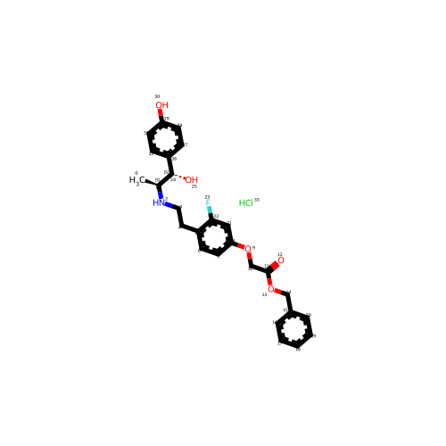 C[C@H](NCCc1ccc(OCC(=O)OCc2ccccc2)cc1F)[C@@H](O)c1ccc(O)cc1.Cl